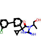 CC(CO)N1C(=N)NC(c2cccc(-c3cccc(Cl)c3)c2)(C2CC2)C1=O